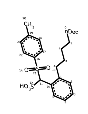 CCCCCCCCCCCCCCc1ccccc1C(S(=O)(=O)O)S(=O)(=O)c1ccc(C)cc1